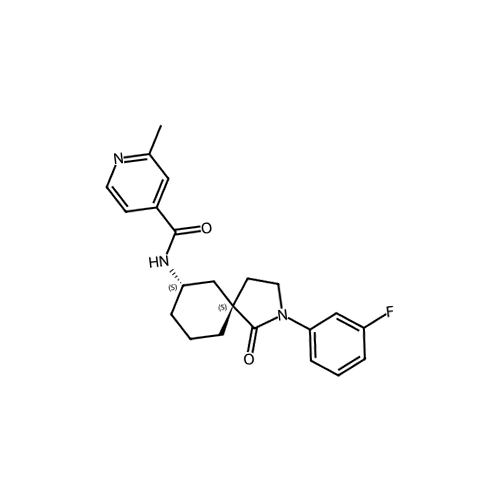 Cc1cc(C(=O)N[C@H]2CCC[C@]3(CCN(c4cccc(F)c4)C3=O)C2)ccn1